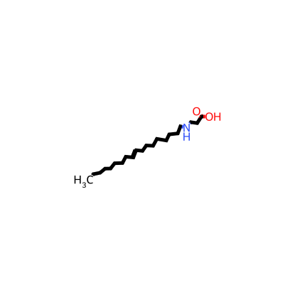 CCCCCCCCC=CCCCCCCCCNCCC(=O)O